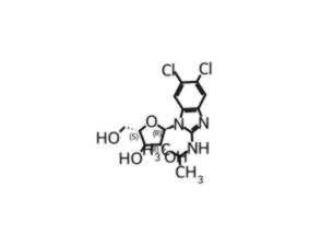 CC(C)Nc1nc2cc(Cl)c(Cl)cc2n1[C@@H]1O[C@@H](CO)C(O)[C@H]1O